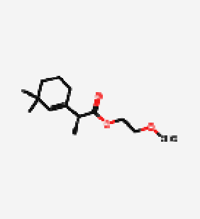 C[C@H](C(=O)OCCOC=O)C1=CC(C)(C)CCC1